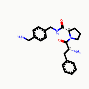 NCc1ccc(CNC(=O)[C@@H]2CCCN2C(=O)[C@H](N)Cc2ccccc2)cc1